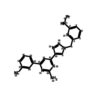 CC(C)Nc1cccc(Cn2cc(-c3cc(-c4cccc(C#N)c4)nc(N)n3)nn2)n1